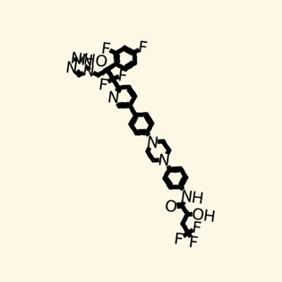 O=C(Nc1ccc(N2CCN(c3ccc(-c4ccc(C(F)(F)[C@](O)(Cn5cnnn5)c5ccc(F)cc5F)nc4)cc3)CC2)cc1)C(O)CC(F)(F)F